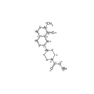 Cn1cnc2ncc(N3CCN(C(=O)OC(C)(C)C)CC3)nc2c1=O